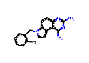 Nc1nc(N)c2c(ccc3c2ccn3Cc2ccccc2C(F)(F)F)n1